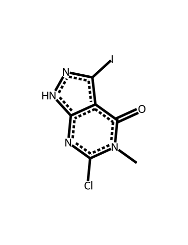 Cn1c(Cl)nc2[nH]nc(I)c2c1=O